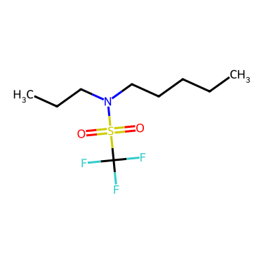 CCCCCN(CCC)S(=O)(=O)C(F)(F)F